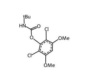 COc1cc(OC)c(Cl)c(OC(=O)NC(C)(C)C)c1Cl